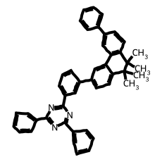 CC1(C)c2ccc(-c3ccccc3)cc2-c2cc(-c3cccc(-c4nc(-c5ccccc5)nc(-c5ccccc5)n4)c3)ccc2C1(C)C